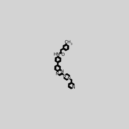 Cc1cccc(CC(=O)Nc2ccc(-c3ccc4ncc(N5CCN(Cc6cccnc6)CC5)nc4c3)cc2)c1